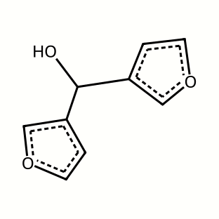 OC(c1ccoc1)c1ccoc1